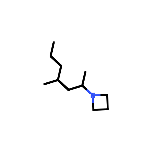 CCCC(C)CC(C)N1CCC1